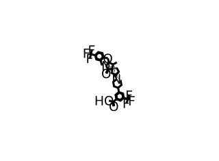 CC1C2Oc3ccc(C(F)(F)F)cc3CN2C(=O)[C@]12CC[C@@H](N1CCC(c3cc(C(=O)O)cc(C(F)(F)F)c3)CC1)C2